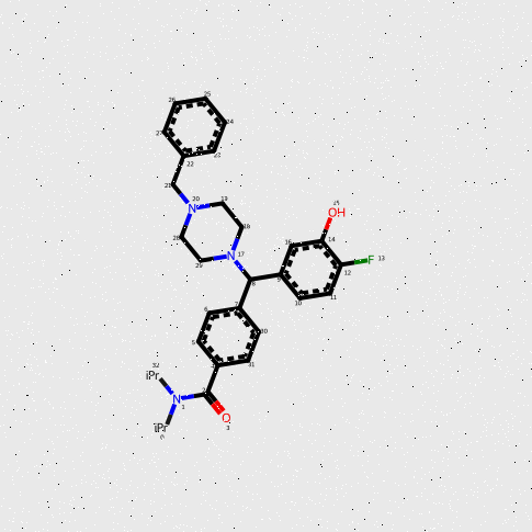 CC(C)N(C(=O)c1ccc(C(c2ccc(F)c(O)c2)N2CCN(Cc3ccccc3)CC2)cc1)C(C)C